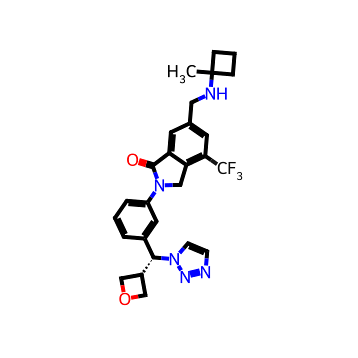 CC1(NCc2cc3c(c(C(F)(F)F)c2)CN(c2cccc([C@@H](C4COC4)n4ccnn4)c2)C3=O)CCC1